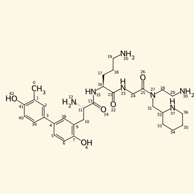 Cc1cc(-c2ccc(O)c(C[C@H](N)C(=O)N[C@@H](CCCN)C(=O)NCC(=O)N(CCN)CC3CCCCN3)c2)ccc1O